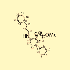 COC(=O)Cc1c(-c2ccccc2)ccc(NCCCc2ccccc2)c1C